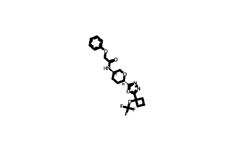 O=C(COc1ccccc1)N[C@@H]1CC[C@@H](c2nnc(C3(OC(F)(F)F)CCC3)o2)OC1